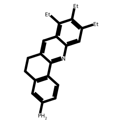 CCc1cc2nc3c(cc2c(CC)c1CC)CCc1cc(P)ccc1-3